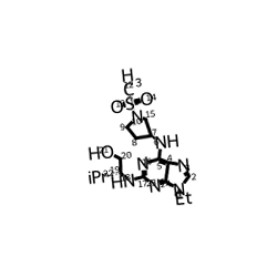 CCn1cnc2c(N[C@H]3CCN(S(C)(=O)=O)C3)nc(N[C@@H](CO)C(C)C)nc21